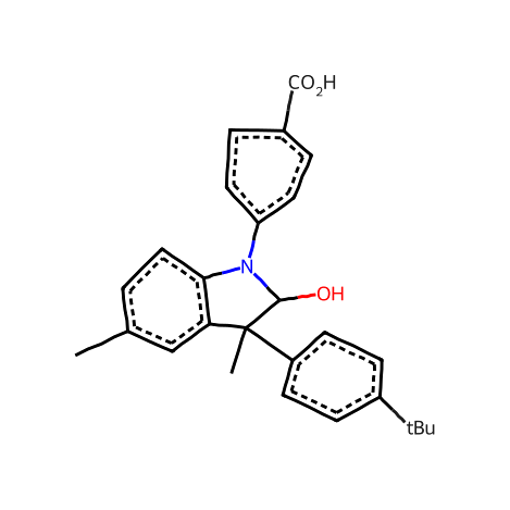 Cc1ccc2c(c1)C(C)(c1ccc(C(C)(C)C)cc1)C(O)N2c1ccc(C(=O)O)cc1